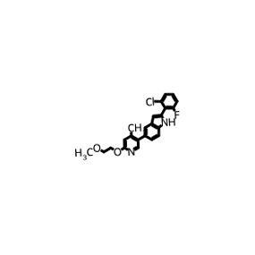 COCCOc1cc(C)c(-c2ccc3[nH]c(-c4c(F)cccc4Cl)cc3c2)cn1